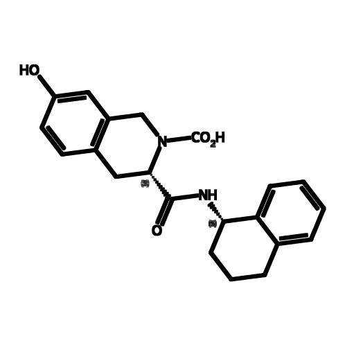 O=C(N[C@H]1CCCc2ccccc21)[C@@H]1Cc2ccc(O)cc2CN1C(=O)O